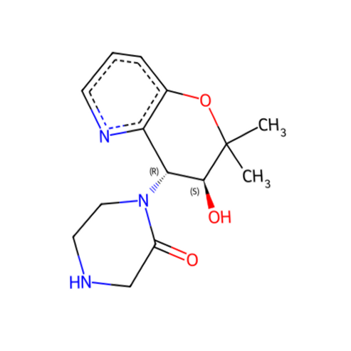 CC1(C)Oc2cccnc2[C@@H](N2CCNCC2=O)[C@@H]1O